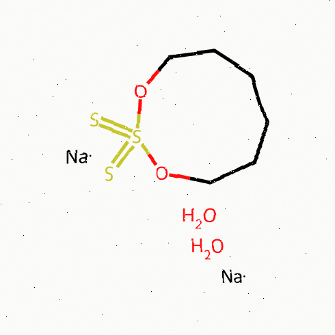 O.O.S=S1(=S)OCCCCCCO1.[Na].[Na]